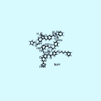 COc1cc(C(=O)NS(=O)(=O)c2ccccc2C)ccc1Cc1cn(C)c2ccc(NC(=O)OC3CCCC3)cc12.COc1ccc(CC(C)NCC(O)c2ccc(O)c(NC=O)c2)cc1.O=C(Nc1ccc2c(=O)cc(-c3nn[nH]n3)oc2c1)c1ccc(OCCCCc2ccccc2)cc1.[NaH]